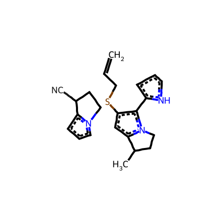 C=CCSc1cc2n(c1-c1ccc[nH]1)CCC2C.N#CC1CCn2cccc21